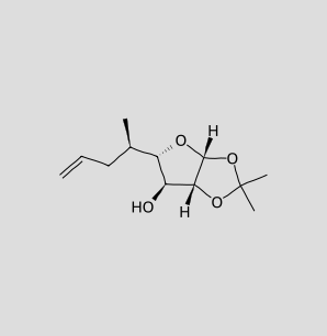 C=CC[C@@H](C)[C@@H]1O[C@@H]2OC(C)(C)O[C@@H]2[C@H]1O